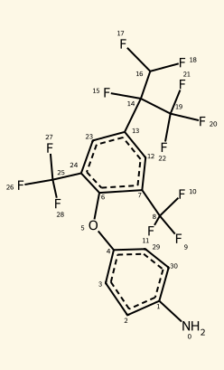 Nc1ccc(Oc2c(C(F)(F)F)cc(C(F)(C(F)F)C(F)(F)F)cc2C(F)(F)F)cc1